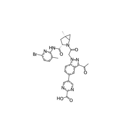 CC(=O)c1nn(CC(=O)N2C3C[C@]3(C)C[C@H]2C(=O)Nc2nc(Br)ccc2C)c2ccc(-c3cnc(C(=O)O)nc3)cc12